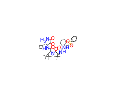 CC(C)(C)[C@H](NC(=O)NC1(CS(=O)(=O)c2ccccc2)CCCCC1)C(=O)N1CC2(C)C(C1C(=O)NC(CC1CCC1)C(=O)C(N)=O)C2(C)C